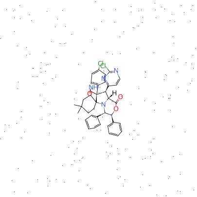 CC1(C)CCC2(CC1)N1[C@H](c3ccccc3)[C@H](c3ccccc3)OC(=O)[C@H]1[C@H](c1ccnc(Cl)n1)[C@@]21C(=O)Nc2cc(Cl)ccc21